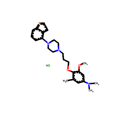 COc1cc(N(C)C)cc(C)c1OCCCN1CCN(c2cccc3sccc23)CC1.Cl